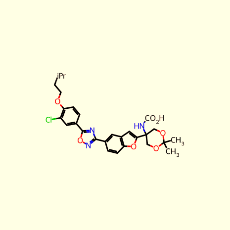 CC(C)CCOc1ccc(-c2nc(-c3ccc4oc(C5(NC(=O)O)COC(C)(C)OC5)cc4c3)no2)cc1Cl